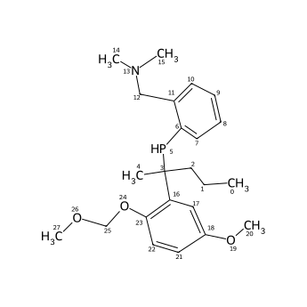 CCCC(C)(Pc1ccccc1CN(C)C)c1cc(OC)ccc1OCOC